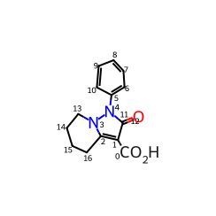 O=C(O)c1c2n(n(-c3ccccc3)c1=O)CCCC2